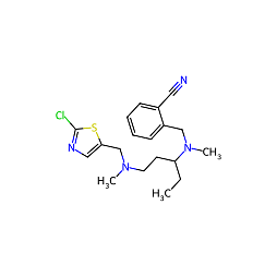 CCC(CCN(C)Cc1cnc(Cl)s1)N(C)Cc1ccccc1C#N